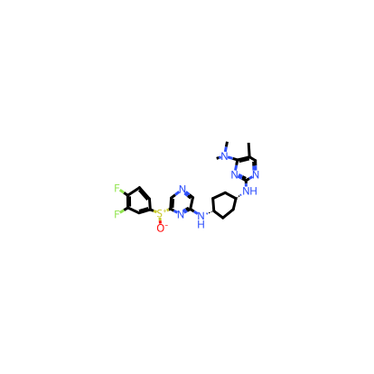 Cc1cnc(N[C@H]2CC[C@@H](Nc3cncc([S+]([O-])c4ccc(F)c(F)c4)n3)CC2)nc1N(C)C